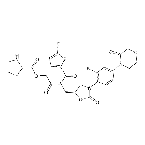 O=C(OCC(=O)N(C[C@H]1CN(c2ccc(N3CCOCC3=O)cc2F)C(=O)O1)C(=O)c1ccc(Cl)s1)[C@@H]1CCCN1